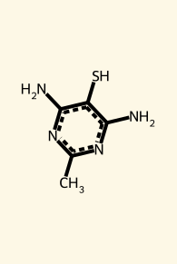 Cc1nc(N)c(S)c(N)n1